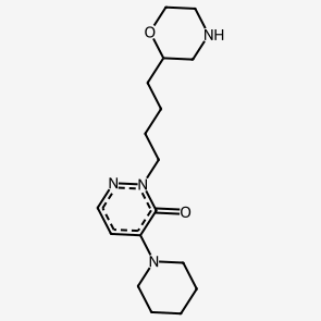 O=c1c(N2CCCCC2)ccnn1CCCCC1CNCCO1